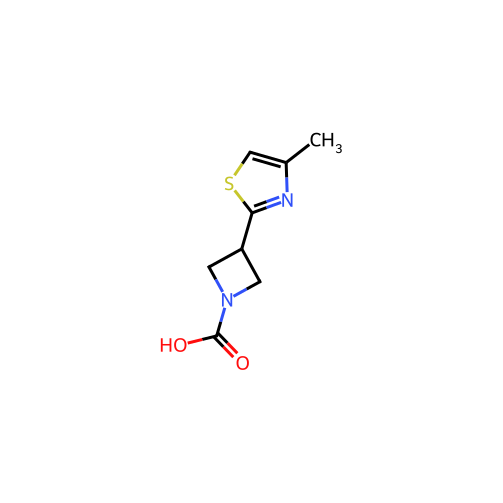 Cc1csc(C2CN(C(=O)O)C2)n1